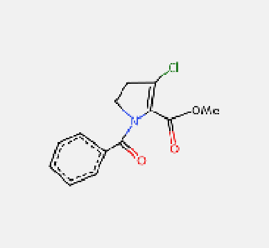 COC(=O)C1=C(Cl)CCN1C(=O)c1ccccc1